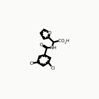 O=C(NC(C(=O)O)c1ccco1)c1cc(Cl)cc(Cl)c1